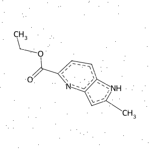 CCOC(=O)c1ccc2[nH]c(C)cc2n1